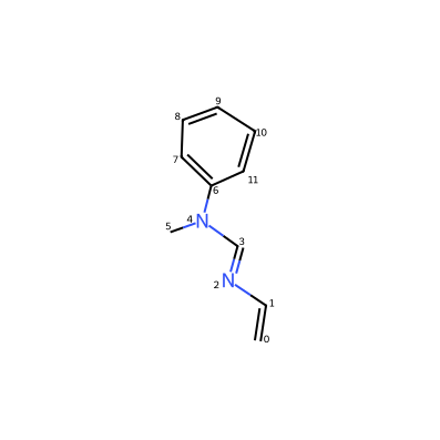 C=C/N=C/N(C)c1ccccc1